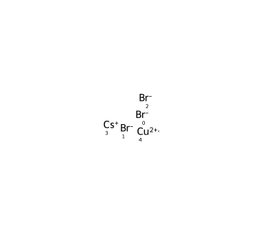 [Br-].[Br-].[Br-].[Cs+].[Cu+2]